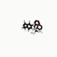 CC(C)[Si](Cc1ccccc1)(Oc1c(F)c(F)c2c(c1F)C(F)(F)[C]=C2F)C1CCCCC1